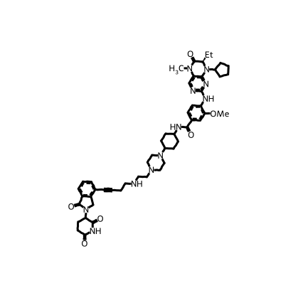 CC[C@@H]1C(=O)N(C)c2cnc(Nc3ccc(C(=O)NC4CCC(N5CCN(CCNCCC#Cc6cccc7c6CN(C6CCC(=O)NC6=O)C7=O)CC5)CC4)cc3OC)nc2N1C1CCCC1